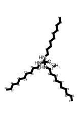 CCCCCCCCCCNC(NCCCCCCCCCC)(NCCCCCCCCCC)O[SiH3]